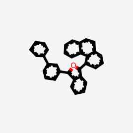 c1ccc(-c2cccc(-c3oc(-c4cccc5ccc6ccccc6c45)c4ccccc34)c2)cc1